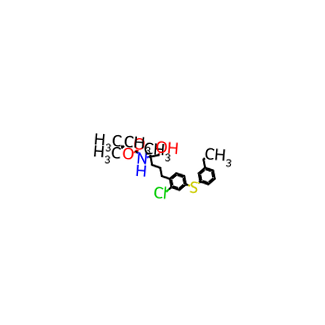 CCc1cccc(Sc2ccc(CCCC(C)(CO)NC(=O)OC(C)(C)C)c(Cl)c2)c1